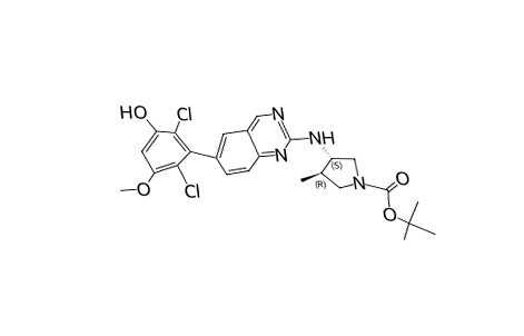 COc1cc(O)c(Cl)c(-c2ccc3nc(N[C@@H]4CN(C(=O)OC(C)(C)C)C[C@H]4C)ncc3c2)c1Cl